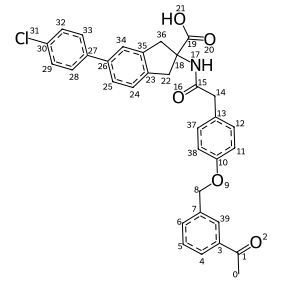 CC(=O)c1cccc(COc2ccc(CC(=O)NC3(C(=O)O)Cc4ccc(-c5ccc(Cl)cc5)cc4C3)cc2)c1